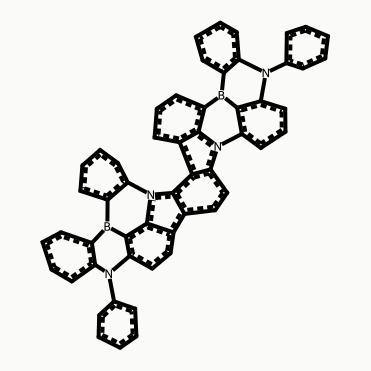 c1ccc(N2c3ccccc3B3c4c2cccc4-n2c4ccc5c6ccc7c8c6n(c5c4c4cccc3c42)-c2ccccc2B8c2ccccc2N7c2ccccc2)cc1